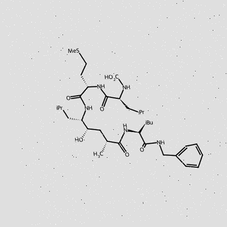 CC[C@H](C)[C@H](NC(=O)[C@H](C)C[C@H](O)[C@H](CC(C)C)NC(=O)[C@H](CCSC)NC(=O)[C@H](CC(C)C)NC(=O)O)C(=O)NCc1ccccc1